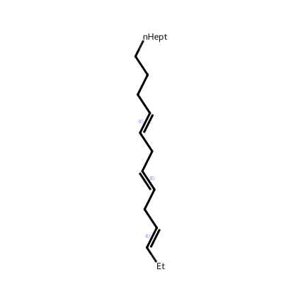 CC/C=C/C/C=C/C/C=C/CCCCCCCCCC